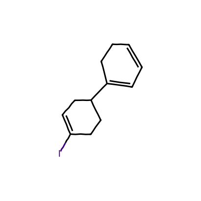 IC1=CCC(C2=CC=CCC2)CC1